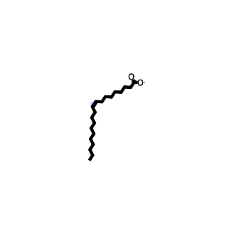 CCCCCCCCCC/C=C\CCCCCCCC([O])=O